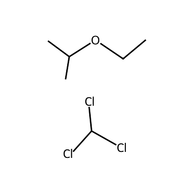 CCOC(C)C.ClC(Cl)Cl